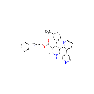 CC1=C(C(=O)OC/C=C/c2ccccc2)C(c2cccc([N+](=O)[O-])c2)C(c2ncccc2-c2ccncc2)=C(C)N1